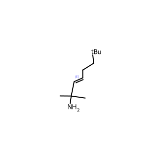 CC(C)(N)/C=C/CCC(C)(C)C